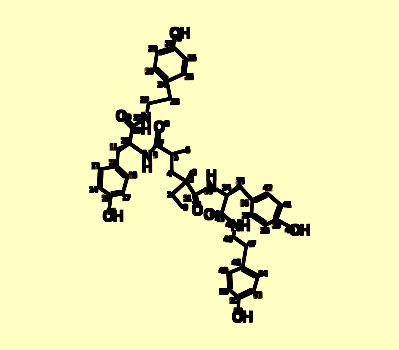 CCC(C)(CC(C)C(=O)N[C@@H](Cc1ccc(O)cc1)C(=O)NCCc1ccc(O)cc1)C(=O)N[C@@H](Cc1ccc(O)cc1)C(=O)NCCc1ccc(O)cc1